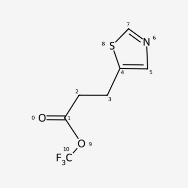 O=C(CCc1cncs1)OC(F)(F)F